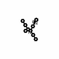 c1ccc(-c2ccc(-c3cc(-c4ccc(-c5nc6ccccc6o5)cc4)c4cc(-c5ccc(-c6ccccc6)cc5)c5ccccc5c4n3)cc2)cc1